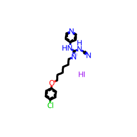 I.N#CN/C(=N/CCCCCCOc1ccc(Cl)cc1)Nc1ccncc1